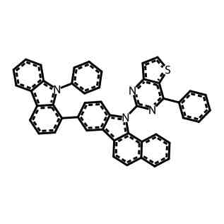 c1ccc(-c2nc(-n3c4ccc(-c5cccc6c7ccccc7n(-c7ccccc7)c56)cc4c4ccc5ccccc5c43)nc3ccsc23)cc1